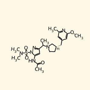 COc1cc(C[C@@H]2CCN(C(C)c3cc(NC(C)=O)n(S(=O)(=O)N(C)C)n3)C2)cc(C)n1